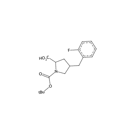 CC(C)(C)OC(=O)N1CC(Cc2ccccc2F)CC1C(=O)O